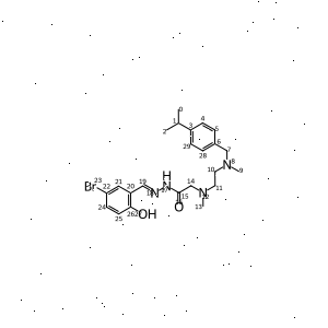 CC(C)c1ccc(CN(C)CCN(C)CC(=O)NN=Cc2cc(Br)ccc2O)cc1